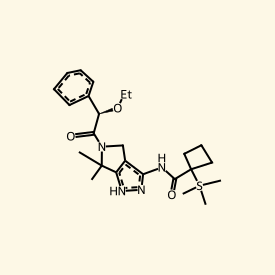 CCO[C@@H](C(=O)N1Cc2c(NC(=O)C3(S(C)(C)C)CCC3)n[nH]c2C1(C)C)c1ccccc1